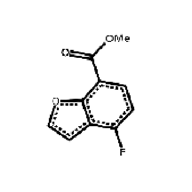 COC(=O)c1ccc(F)c2ccoc12